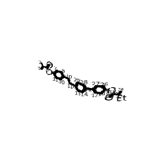 C=C(C)C(=O)Oc1ccc(/C=C/c2ccc(-c3ccc(OC(=O)C(=C)CC)cc3)cc2)cc1